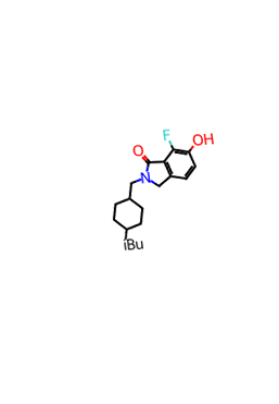 CCC(C)C1CCC(CN2Cc3ccc(O)c(F)c3C2=O)CC1